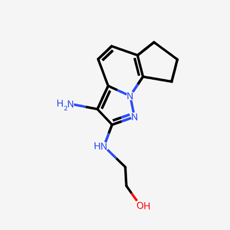 Nc1c(NCCO)nn2c3c(ccc12)CCC3